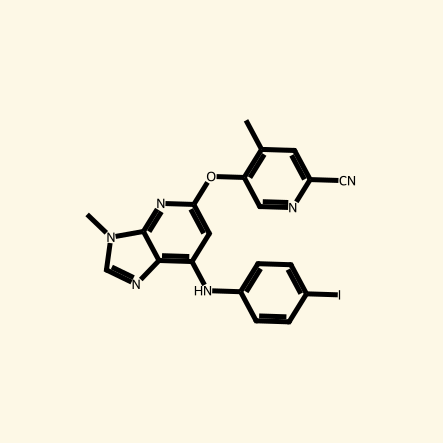 Cc1cc(C#N)ncc1Oc1cc(Nc2ccc(I)cc2)c2ncn(C)c2n1